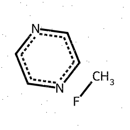 CF.c1cnccn1